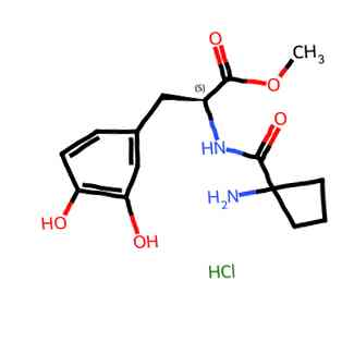 COC(=O)[C@H](Cc1ccc(O)c(O)c1)NC(=O)C1(N)CCC1.Cl